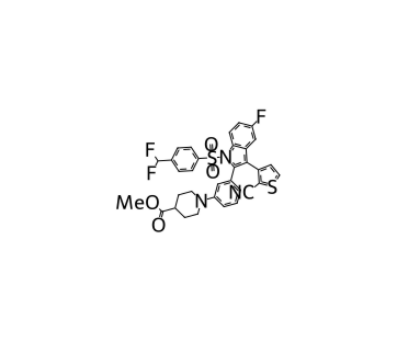 COC(=O)C1CCN(c2cccc(-c3c(-c4ccsc4C#N)c4cc(F)ccc4n3S(=O)(=O)c3ccc(C(F)F)cc3)c2)CC1